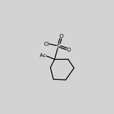 CC(=O)C1(S(=O)(=O)Cl)CCCCC1